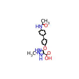 CC(=O)Nc1ccc(-c2ccc(OC3=C(C(=O)O)NN(C)N3)cc2)cc1